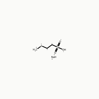 CSCCS(=O)(=O)O.[NaH]